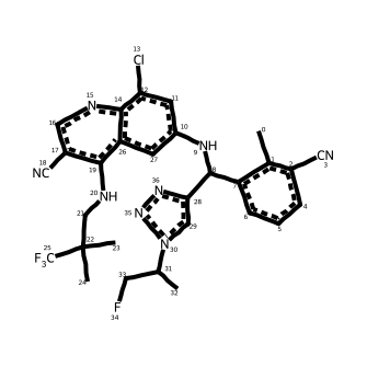 Cc1c(C#N)cccc1C(Nc1cc(Cl)c2ncc(C#N)c(NCC(C)(C)C(F)(F)F)c2c1)c1cn(C(C)CF)nn1